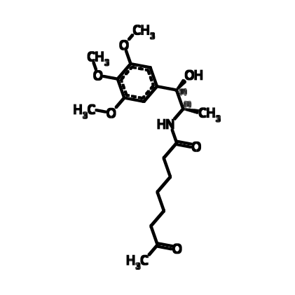 COc1cc([C@@H](O)[C@@H](C)NC(=O)CCCCCC(C)=O)cc(OC)c1OC